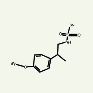 CC(C)Oc1ccc(C(C)CNS(=O)(=O)C(C)C)cc1